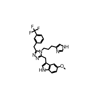 COc1ccc2[nH]cc(Cc3nnc(Cc4cccc(C(F)(F)F)c4)n3CCCc3c[nH]cn3)c2c1